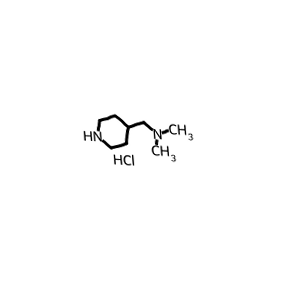 CN(C)CC1CCNCC1.Cl